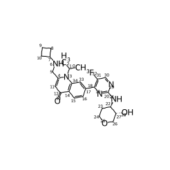 CC(C)n1c(CNC2CCC2)cc(=O)c2ccc(-c3nc(N[C@@H]4CCOC[C@H]4O)ncc3F)cc21